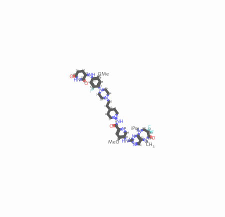 COc1cc(C(=O)NN2CCC(CCN3CCN(c4cc(OC)c(NC5CCC(=O)NC5=O)cc4F)CC3)CC2)ncc1Nc1ncc2c(n1)N(C(C)C)CC(F)(F)C(=O)N2C